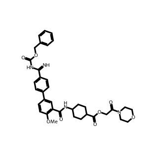 COc1ccc(-c2ccc(C(=N)NC(=O)OCc3ccccc3)cc2)cc1C(=O)NC1CCC(C(=O)OCC(=O)N2CCOCC2)CC1